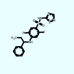 CCC(Nc1cc(F)c(S(=O)(=O)Nc2ncns2)cc1F)c1ccccc1